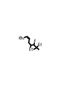 CCC(C)/C=C\CC(CC)C(F)C(C)(C)CC